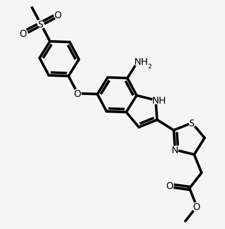 COC(=O)CC1CSC(c2cc3cc(Oc4ccc(S(C)(=O)=O)cc4)cc(N)c3[nH]2)=N1